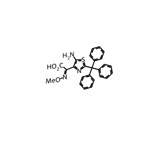 CON=C(C(=O)O)c1nc(C(c2ccccc2)(c2ccccc2)c2ccccc2)sc1N